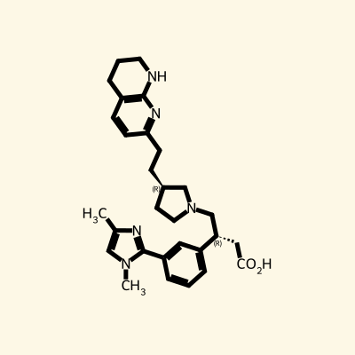 Cc1cn(C)c(-c2cccc([C@@H](CC(=O)O)CN3CC[C@@H](CCc4ccc5c(n4)NCCC5)C3)c2)n1